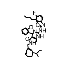 CCCCc1c(F)ccc2nc(NC3=NC(c4ccccc4Cl)C(C(=O)NCC4=CC(C(C)CC)CCC=C4)=C(C)N3)oc12